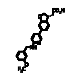 O=C(O)C[C@H]1COc2cc(-c3ccc(NCc4cccc(OC(F)(F)F)c4)nc3)ccc21